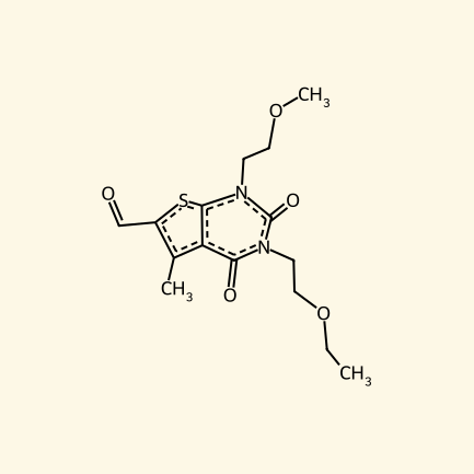 CCOCCn1c(=O)c2c(C)c(C=O)sc2n(CCOC)c1=O